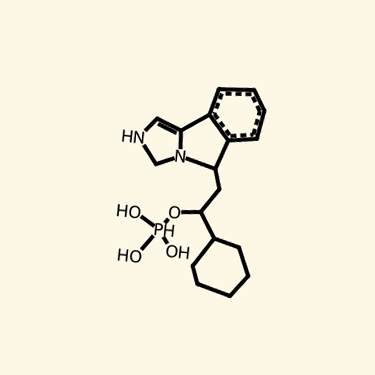 O[PH](O)(O)OC(CC1c2ccccc2C2=CNCN21)C1CCCCC1